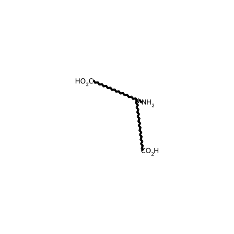 NCCN(CCCCCCCCCCCCCCCCCCCCCC(=O)O)CCCCCCCCCCCCCCCCCCCCCC(=O)O